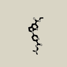 CCOC(=O)c1cnc2c(ccn2-c2ccc(C(=O)N=CN(C)C)nc2)c1